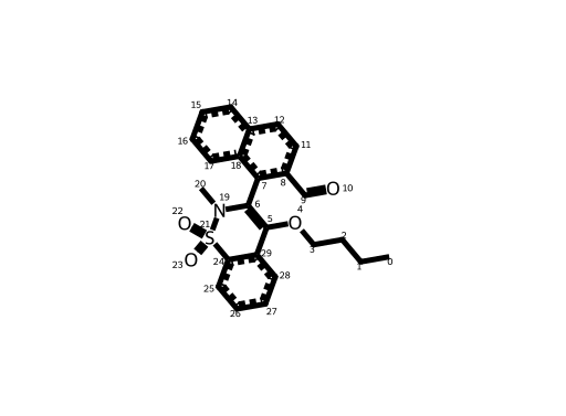 CCCCOC1=C(c2c(C=O)ccc3ccccc23)N(C)S(=O)(=O)c2ccccc21